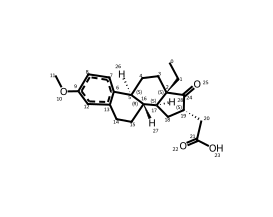 CC[C@]12CC[C@@H]3c4ccc(OC)cc4CC[C@H]3[C@@H]1C[C@@H](CC(=O)O)C2=O